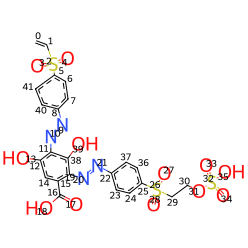 C=CS(=O)(=O)c1ccc(N=Nc2c(O)cc(C(=O)O)c(N=Nc3ccc(S(=O)(=O)CCOS(=O)(=O)O)cc3)c2O)cc1